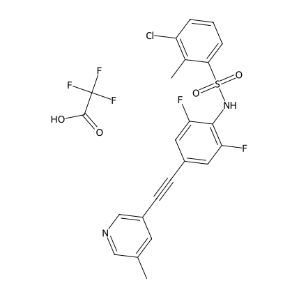 Cc1cncc(C#Cc2cc(F)c(NS(=O)(=O)c3cccc(Cl)c3C)c(F)c2)c1.O=C(O)C(F)(F)F